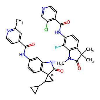 CN1C(=O)C(C)(C)c2ccc(NC(=O)c3ccncc3Cl)c(F)c21.Cc1cc(C(=O)Nc2ccc3c(c2)NC(=O)[C@@]32CC2C2CC2)ccn1